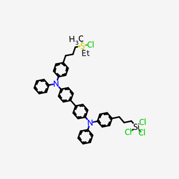 CCS(C)(Cl)CCCc1ccc(N(c2ccccc2)c2ccc(-c3ccc(N(c4ccccc4)c4ccc(CCC[Si](Cl)(Cl)Cl)cc4)cc3)cc2)cc1